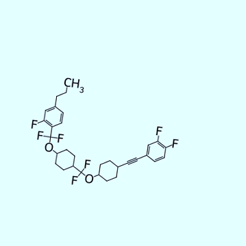 CCCc1ccc(C(F)(F)OC2CCC(C(F)(F)OC3CCC(C#Cc4ccc(F)c(F)c4)CC3)CC2)c(F)c1